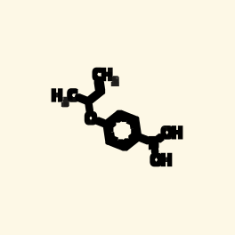 C=CC(C)Oc1ccc(B(O)O)cc1